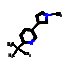 Cn1ccc(-c2ccc(C(C)(C)C)nc2)c1